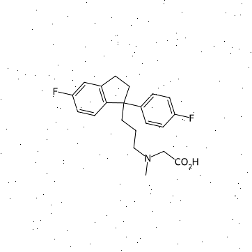 CN(CCCC1(c2ccc(F)cc2)CCc2cc(F)ccc21)CC(=O)O